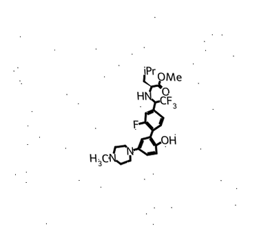 COC(=O)[C@H](CC(C)C)NC(c1ccc(-c2cc(N3CCN(C)CC3)ccc2O)c(F)c1)C(F)(F)F